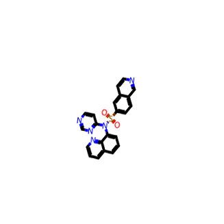 O=S(=O)(c1ccc2cnccc2c1)N(c1ccncn1)c1cccc2cccnc12